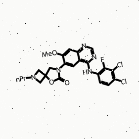 CCCN1CC2(C1)CN(c1cc3c(Nc4ccc(Cl)c(Cl)c4F)ncnc3cc1OC)C(=O)O2